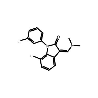 CN(C)C=C1C(=O)N(c2cccc(Cl)c2)c2c(Cl)cccc21